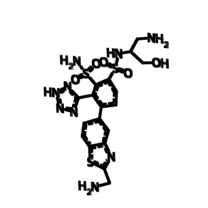 NCc1nc2cc(-c3ccc(S(=O)(=O)NC(CN)CO)c(S(N)(=O)=O)c3-c3nn[nH]n3)ccc2s1